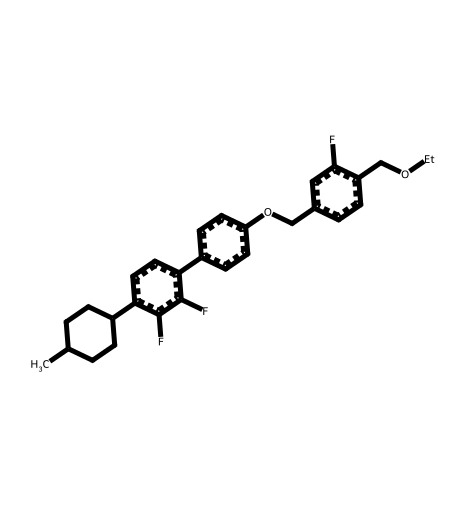 CCOCc1ccc(COc2ccc(-c3ccc(C4CCC(C)CC4)c(F)c3F)cc2)cc1F